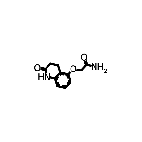 NC(=O)COc1cccc2c1CCC(=O)N2